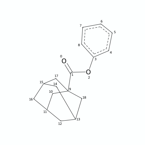 O=C(Oc1ccccc1)C12CC3CC(CC(C3)C1)C2